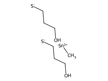 OCCC[S-].OCCC[S-].[CH3][Sn+2]